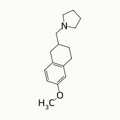 COc1ccc2c(c1)CCC(CN1CCCC1)C2